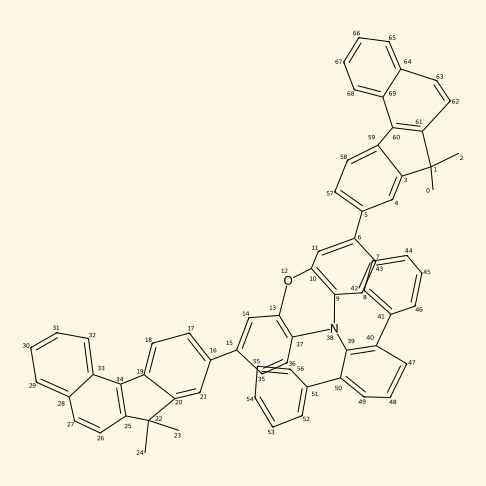 CC1(C)c2cc(-c3ccc4c(c3)Oc3cc(-c5ccc6c(c5)C(C)(C)c5ccc7ccccc7c5-6)ccc3N4c3c(-c4ccccc4)cccc3-c3ccccc3)ccc2-c2c1ccc1ccccc21